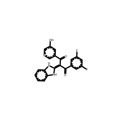 O=C(C(C(=O)c1cc(F)cc(F)c1)=C1Nc2ccccc2N1)c1cncc(O)c1